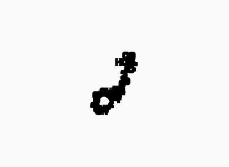 CC[C@H]1OC(=O)[C@H](C)[C@@H](O)[C@H](C)[C@@H](O[C@@H]2O[C@H](C)C[C@@H](N(C)CCOC(=O)CC/C(C)=C/Cc3c(O)c4c(c(C)c3OC)COC4=O)[C@@H]2N(C)C)[C@](C)(O)C[C@@H](C)CN(C)[C@H](C)[C@@H](O)[C@]1(C)O